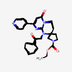 CCOC(=O)N1CCC2(CCn3c(nc(-c4ccncc4)cc3=O)N2CC(=O)c2ccccc2)C1